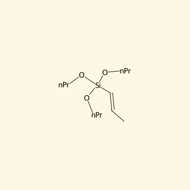 CC=C[Si](OCCC)(OCCC)OCCC